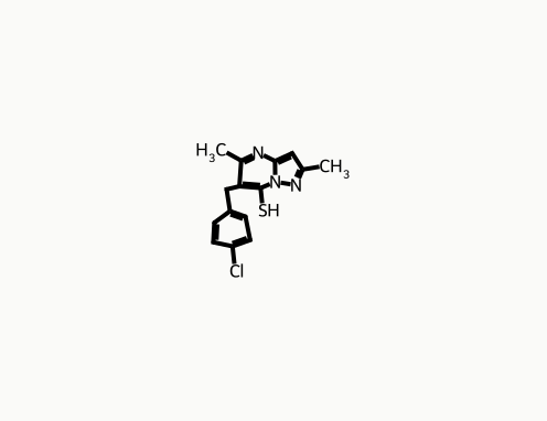 Cc1cc2nc(C)c(Cc3ccc(Cl)cc3)c(S)n2n1